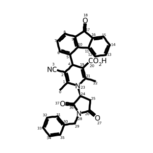 CC1=C(C#N)C(c2cccc3c2-c2ccccc2C3=O)C(C(=O)O)=C(C)N1[C@H]1CC(=O)N(Cc2ccccc2)C1=O